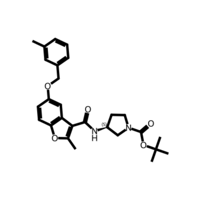 Cc1cccc(COc2ccc3oc(C)c(C(=O)N[C@H]4CCN(C(=O)OC(C)(C)C)C4)c3c2)c1